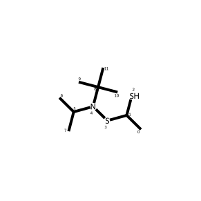 CC(S)SN(C(C)C)C(C)(C)C